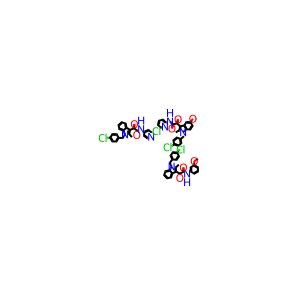 COc1ccc2c(c1)c(C(=O)C(=O)Nc1ccccn1)c(C)n2Cc1ccc(Cl)cc1.COc1cccc(NC(=O)C(=O)c2c(C)n(Cc3ccc(Cl)cc3)c3ccccc23)c1.Cc1c(C(=O)C(=O)Nc2ccnc(Cl)c2)c2ccccc2n1Cc1ccc(Cl)cc1